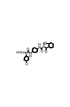 CCCCCCN(C(=O)Nc1ccc(NC(=O)NC(=O)c2ccccc2Cl)cc1)c1ccc(Cl)cc1